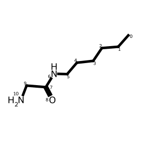 CCCCCCNC(=O)CN